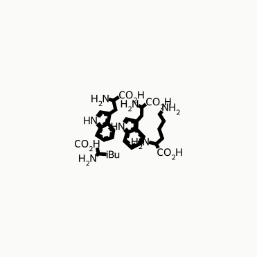 CCC(C)C(N)C(=O)O.NC(Cc1c[nH]c2ccccc12)C(=O)O.NC(Cc1c[nH]c2ccccc12)C(=O)O.NCCCCC(N)C(=O)O